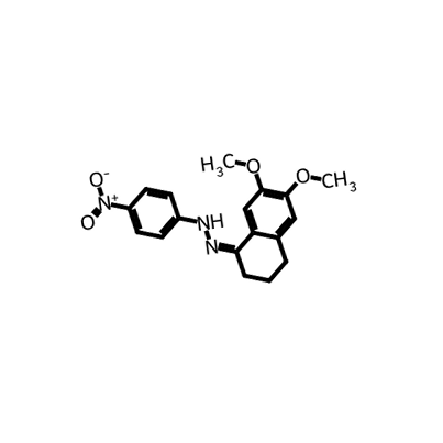 COc1cc2c(cc1OC)/C(=N\Nc1ccc([N+](=O)[O-])cc1)CCC2